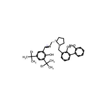 CCC(C)(C)c1cc(/C=N/C[C@@H]2CCCN2Cc2cccc(-c3ccccc3OC)c2O)c(O)c(C(C)(C)CC)c1